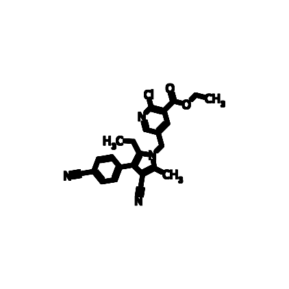 CCOC(=O)c1cc(Cn2c(C)c(C#N)c(-c3ccc(C#N)cc3)c2CC)cnc1Cl